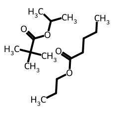 CC(C)OC(=O)C(C)(C)C.CCCCC(=O)OCCC